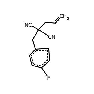 C=CCC(C#N)(C#N)Cc1ccc(F)cc1